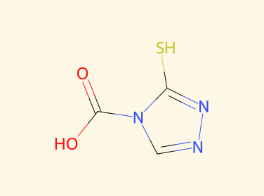 O=C(O)n1cnnc1S